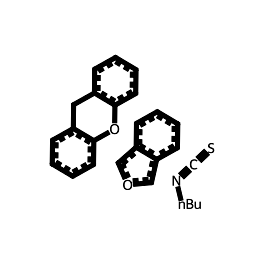 CCCCN=C=S.c1ccc2c(c1)Cc1ccccc1O2.c1ccc2cocc2c1